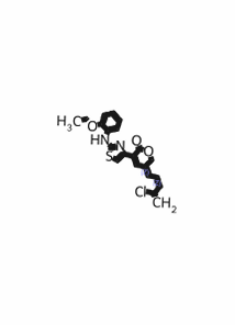 C=C(Cl)/C=C\C=C1\C=C(c2csc(Nc3ccccc3OCC)n2)C(=O)OC1